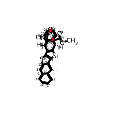 [C-]#[N+]C1(C#N)[C@@H]2c3c(sc4c3sc3cc5ccccc5cc34)[C@@H](C3C=CC=CC32)C1([N+]#[C-])C(=O)OC